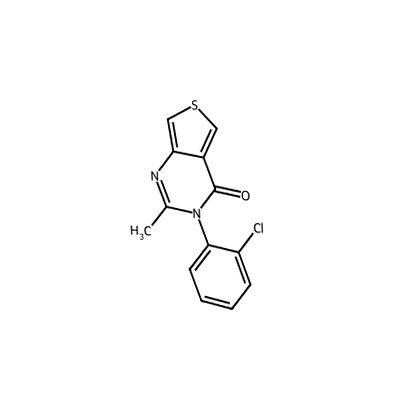 Cc1nc2cscc2c(=O)n1-c1ccccc1Cl